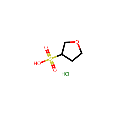 Cl.O=S(=O)(O)C1CCOC1